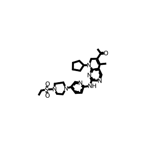 CCS(=O)(=O)N1CCN(c2ccc(Nc3ncc4c(n3)N(C3CCCC3)CC(C(C)=O)=C4C)nc2)CC1